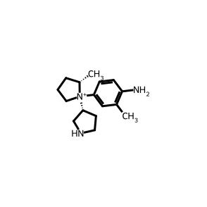 Cc1cc([N+]2([C@@H]3CCNC3)CCC[C@@H]2C)ccc1N